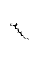 O=C(O)CCCCCOOO